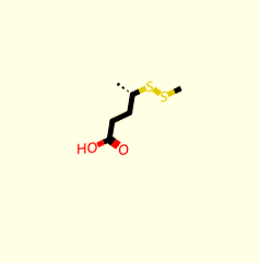 CSS[C@@H](C)CCC(=O)O